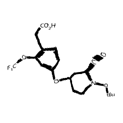 CC(C)(C)ON1CCC(Oc2ccc(CC(=O)O)c(OC(F)(F)F)c2)CC1=C=O